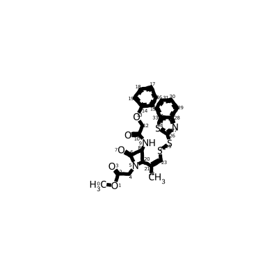 COC(=O)CN1C(=O)C(NC(=O)COc2ccccc2)C1C(C)=CSSc1nc2ccccc2s1